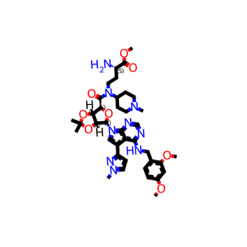 COC(=O)[C@@H](N)CCN(C(=O)[C@H]1O[C@@H](n2cc(-c3ccn(C)n3)c3c(NCc4ccc(OC)cc4OC)ncnc32)[C@@H]2OC(C)(C)O[C@@H]21)C1CCN(C)CC1